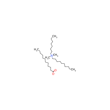 CCCCCCCCCCCC(=O)[O-].CCCCCCCCCC[N+](C)(C)CCCCCCCC